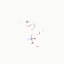 CCOC(=O)C(N)(CC[C@@H](CCl)O[Si](C)(C)C(C)(C)C)C(=O)OCC